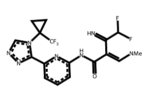 CN/C=C(\C(=N)C(F)F)C(=O)Nc1cccc(-c2nncn2C2(C(F)(F)F)CC2)n1